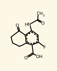 CC(=O)Nc1cc(F)c(C(=O)O)c2c1C(=O)CCC2